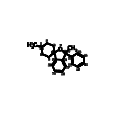 CN1CCC2(CC1)OC(C)(c1ccccc1)c1ccccc12